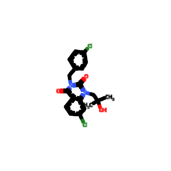 CC(C)(O)Cn1c(=O)n(Cc2ccc(Cl)cc2)c(=O)c2ccc(Cl)cc21